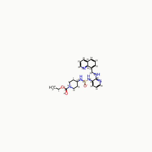 CCOC(=O)N1CCC(N[S+]([O-])Nc2cccnc2NCc2cccc3cccnc23)CC1